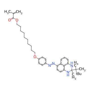 C=C(C)C(=O)OCCCCCCCCCCOc1ccc(/N=N/c2ccc3c4c(cccc24)NC(C)(C(C)(C)C(C)(C)C)N3)cc1